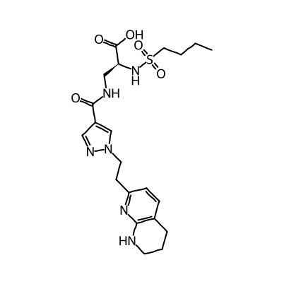 CCCCS(=O)(=O)N[C@@H](CNC(=O)c1cnn(CCc2ccc3c(n2)NCCC3)c1)C(=O)O